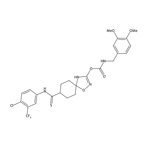 COc1ccc(CNC(=O)OC2=NOC3(CCC(C(=S)Nc4ccc(Cl)c(C(F)(F)F)c4)CC3)N2)cc1OC